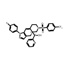 O=S(=O)(c1ccc(C(F)(F)F)cc1)N1CCC2=Cc3c(cnn3-c3ccc(F)cc3)C[C@]2([C@@H](O)c2ccccn2)C1